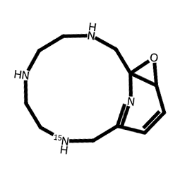 C1=CC2OC23CNCCNCC[15NH]CC1=N3